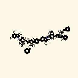 O=C(OCc1ccccc1)n1c2cc(-c3ncc(/N=c4\c(=O)c(=O)c5cc(-c6ccc7c(c6)sc6c8sc(-c9ncc(/N=c%10\c(=O)c(=O)c%11c(F)cc(F)cc%10%11)c%10nsnc9%10)cc8n(C(=O)OCc8ccccc8)c76)ccc45)c4nsnc34)sc2c2sc3ccccc3c21